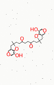 CC(C)(CCC(=O)CCC(=O)CCC(C)(C)Cc1cocc(O)c1=O)Cc1cocc(O)c1=O